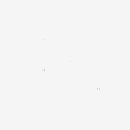 CCc1ccc(C(O)CC(C)(C)C)nc1